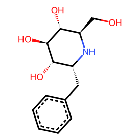 OC[C@H]1N[C@H](Cc2ccccc2)[C@H](O)[C@@H](O)[C@@H]1O